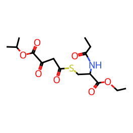 CCOC(=O)C(CSC(=O)CC(=O)C(=O)OC(C)C)NC(=O)CC